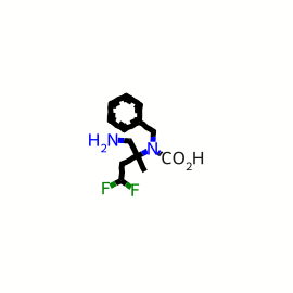 CC(CN)(CC(F)F)N(Cc1ccccc1)C(=O)O